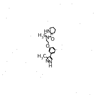 Cc1n[nH]cc1-c1c[c]cc(OCCN(C)C(=O)[C@H]2CCCCN2)c1